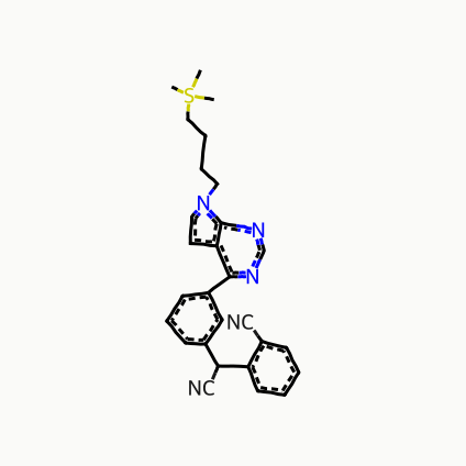 CS(C)(C)CCCCn1ccc2c(-c3cccc(C(C#N)c4ccccc4C#N)c3)ncnc21